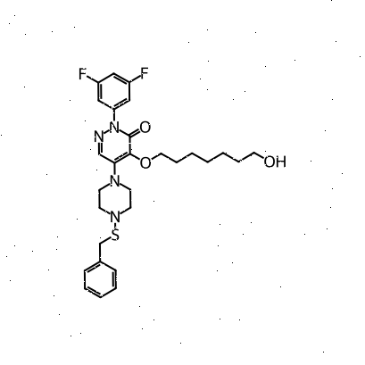 O=c1c(OCCCCCCCO)c(N2CCN(SCc3ccccc3)CC2)cnn1-c1cc(F)cc(F)c1